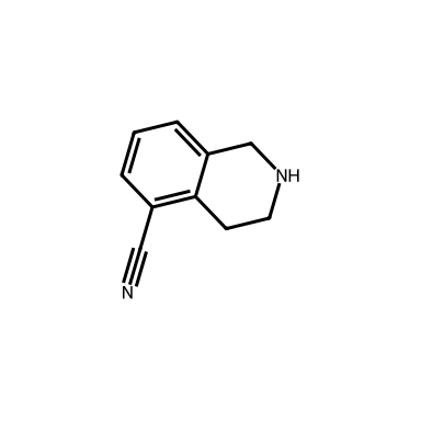 N#Cc1cccc2c1CCNC2